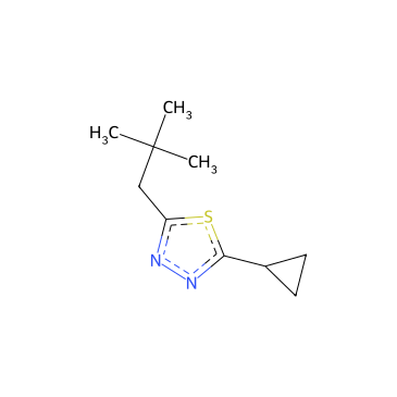 CC(C)(C)Cc1nnc(C2CC2)s1